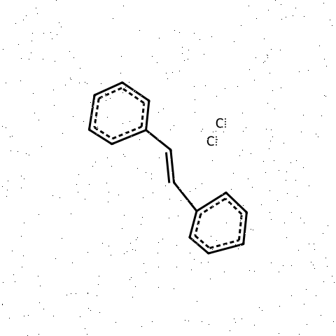 C(=Cc1ccccc1)c1ccccc1.[C].[C]